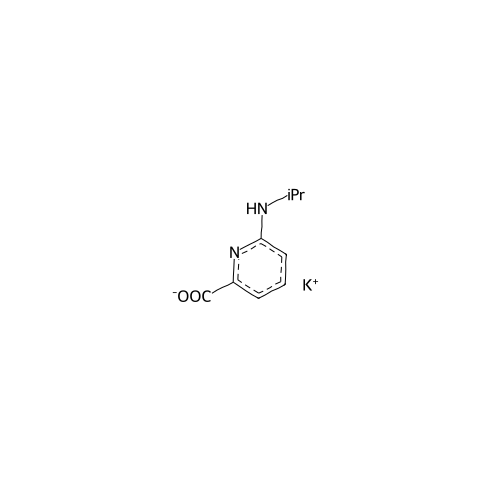 CC(C)Nc1cccc(C(=O)[O-])n1.[K+]